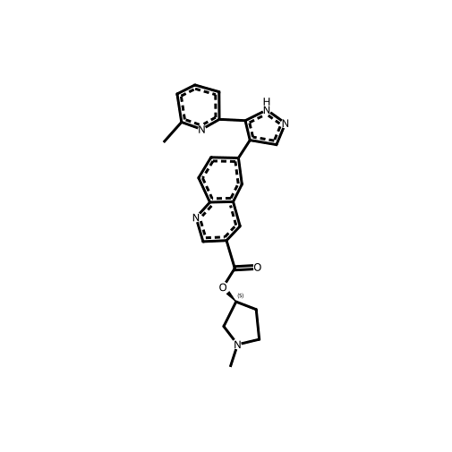 Cc1cccc(-c2[nH]ncc2-c2ccc3ncc(C(=O)O[C@H]4CCN(C)C4)cc3c2)n1